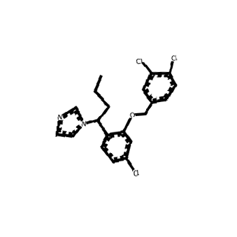 CCCC(c1ccc(Cl)cc1OCc1ccc(Cl)c(Cl)c1)n1ccnc1